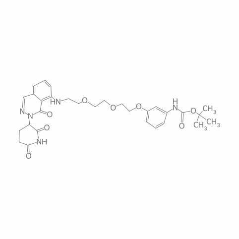 CC(C)(C)OC(=O)Nc1cccc(OCCOCCOCCNc2cccc3cnn(C4CCC(=O)NC4=O)c(=O)c23)c1